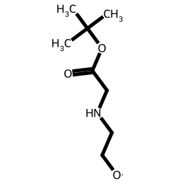 CC(C)(C)OC(=O)CNCC[O]